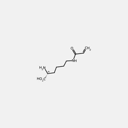 C=CC(=O)NCCCC[C@@H](N)C(=O)O